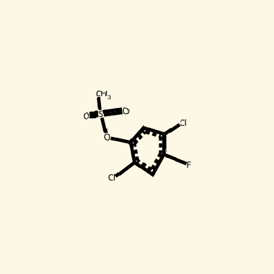 CS(=O)(=O)Oc1cc(Cl)c(F)cc1Cl